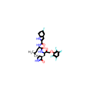 CC(C)CCC(NC(=O)c1cc2cc(F)ccc2[nH]1)C(=O)NC(C[C@@H]1CCNC1=O)C(=O)COc1c(F)c(F)cc(F)c1F